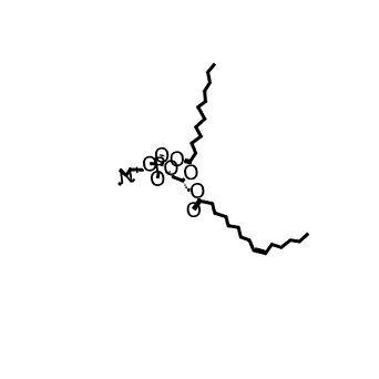 CCCCC/C=C\CCCCCCCC(=O)OC[C@H](COP(=O)([O-])OCC[N+](C)(C)C)OC(=O)CCCCCCCCCCC